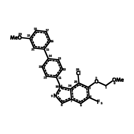 COCOc1c(F)cc2cnn(-c3ccc(-c4cccc(OC)c4)cc3)c2c1Cl